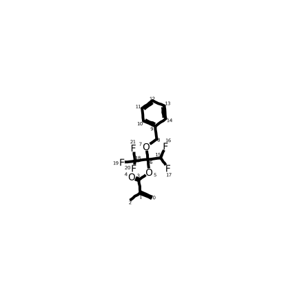 C=C(C)C(=O)OC(OCc1ccccc1)(C(F)F)C(F)(F)F